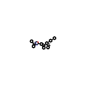 C=C(/C=c1\c(=C/C)n(-c2ccccc2)c2ccccc12)c1ccc2c(c1)c1ccccc1n2-c1ccc(-c2ccc(-c3ccccc3)cc2)c2sc3ccccc3c12